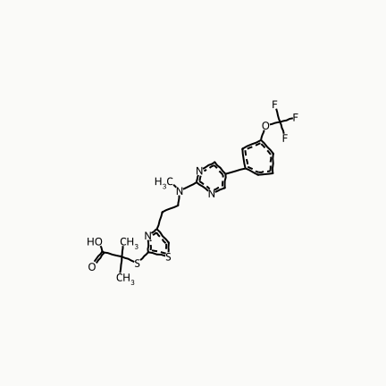 CN(CCc1csc(SC(C)(C)C(=O)O)n1)c1ncc(-c2cccc(OC(F)(F)F)c2)cn1